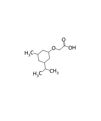 CC1CC(OCC(=O)O)CC(C(C)C)C1